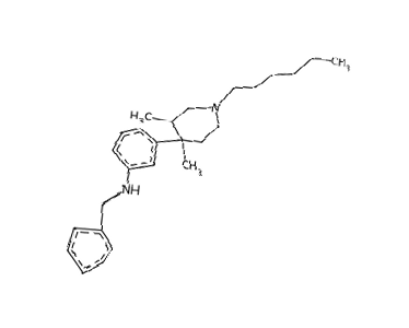 CCCCCCN1CCC(C)(c2cccc(NCc3ccccc3)c2)C(C)C1